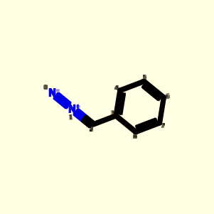 [N-]=[N+]=Cc1ccccc1